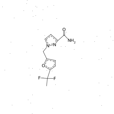 CC(F)(F)c1ccc(Cn2ccc(C(N)=O)n2)o1